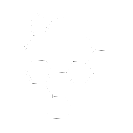 CC(=O)c1cccc(-c2cc(Sc3csc(Br)c3)ccc2N2CC=CCC2)c1